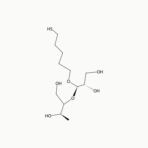 C[C@@H](O)C(CO)O[C@@H](OCCCCCS)[C@@H](O)CO